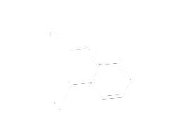 CC(C)O/N=C1/C=CC=CC1C[C]=O